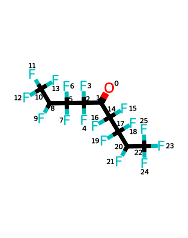 O=C(C(F)(F)C(F)(F)C(F)C(F)(F)F)C(F)(F)C(F)(F)C(F)C(F)(F)F